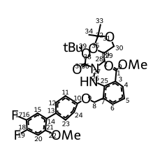 COC(=O)c1cccc(COc2ccc(-c3cc(F)c(F)cc3OC)cc2)c1NN(C[C@@H]1COC(C)(C)O1)C(=O)OC(C)(C)C